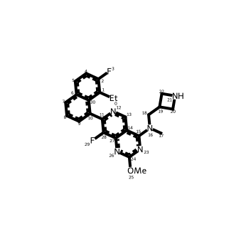 CCc1c(F)ccc2cccc(-c3ncc4c(N(C)CC5CNC5)nc(OC)nc4c3F)c12